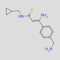 NCc1ccc(/C(N)=C/C(=S)NCC2CC2)cc1